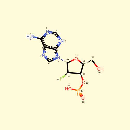 Nc1ncnc2c1ncn2[C@@H]1O[C@H](CO)[C@@H](O[PH](=O)O)[C@H]1F